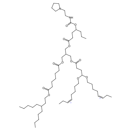 CC/C=C\CCCCOC(CCC(=O)OCC(COC(=O)CCCCCC(=O)OCCC(CCCCC)CCCCC)COC(=O)CCC(CCC)OC(=O)NCCN1CCCC1)OCCCC/C=C\CC